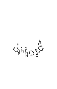 CC(NC(=O)Nc1ccc(S(=O)(=O)Cc2ccc3c(c2)CN(C)C3)cc1)c1c(F)cccc1F